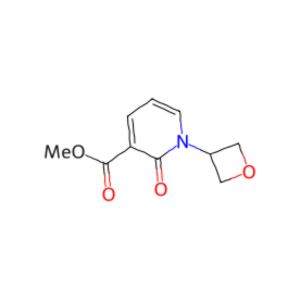 COC(=O)c1cccn(C2COC2)c1=O